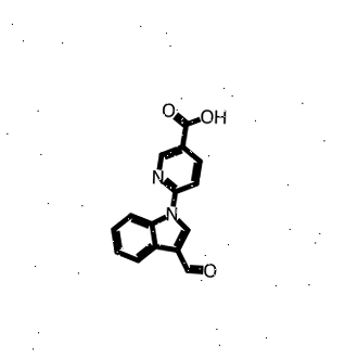 O=Cc1cn(-c2ccc(C(=O)O)cn2)c2ccccc12